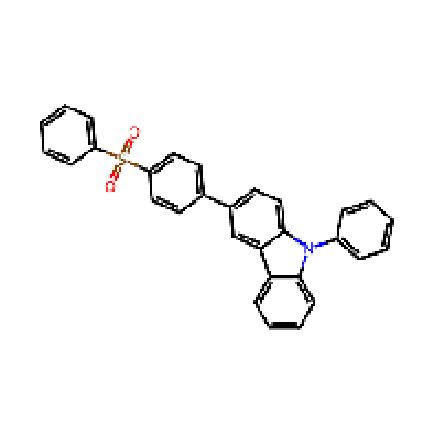 O=S(=O)(c1ccccc1)c1ccc(-c2ccc3c(c2)c2ccccc2n3-c2ccccc2)cc1